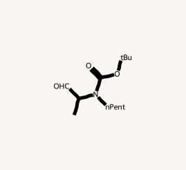 CCCCCN(C(=O)OC(C)(C)C)C(C)C=O